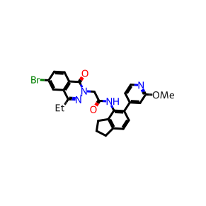 CCc1nn(CC(=O)Nc2c(-c3ccnc(OC)c3)ccc3c2CCC3)c(=O)c2ccc(Br)cc12